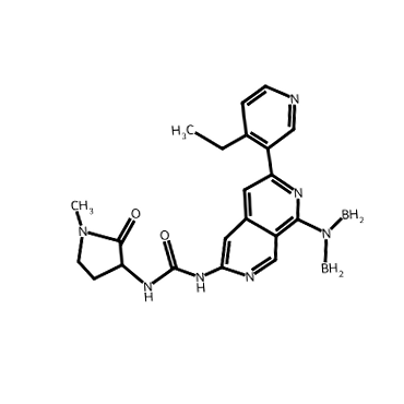 BN(B)c1nc(-c2cnccc2CC)cc2cc(NC(=O)NC3CCN(C)C3=O)ncc12